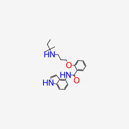 CCC(C)(C)NCCCOc1ccccc1C(=O)Nc1cccc2[nH]ccc12